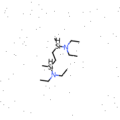 CCN(CC)[SiH](C)CC[SiH](C)N(CC)CC